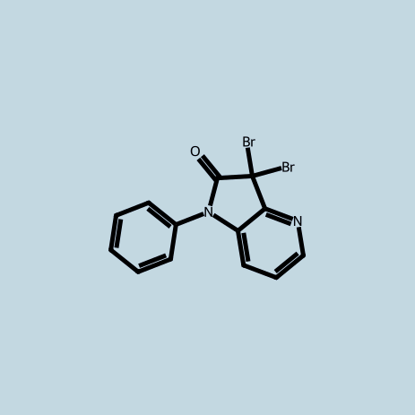 O=C1N(c2ccccc2)c2cccnc2C1(Br)Br